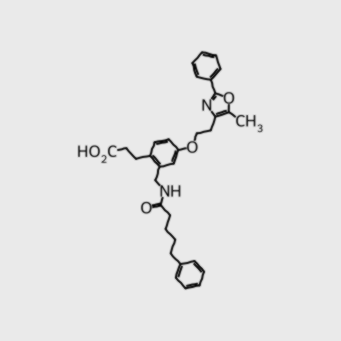 Cc1oc(-c2ccccc2)nc1CCOc1ccc(CCC(=O)O)c(CNC(=O)CCCCc2ccccc2)c1